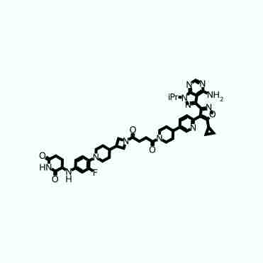 CC(C)n1nc(-c2noc(C3CC3)c2-c2ccc(C3CCN(C(=O)CCC(=O)N4CC(C5CCN(c6ccc(NC7CCC(=O)NC7=O)cc6F)CC5)C4)CC3)cn2)c2c(N)ncnc21